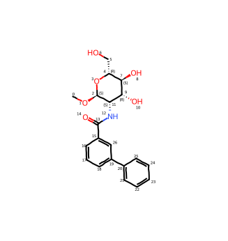 CO[C@H]1O[C@H](CO)[C@@H](O)[C@H](O)[C@@H]1NC(=O)c1cccc(-c2ccccc2)c1